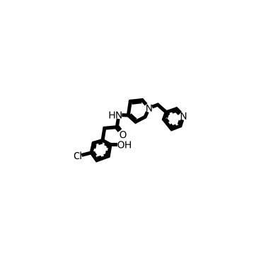 O=C(Cc1cc(Cl)ccc1O)NC1=CCN(Cc2cccnc2)C=C1